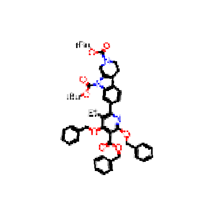 CCc1c(-c2ccc3c4c(n(C(=O)OC(C)(C)C)c3c2)CN(C(=O)OC(C)(C)C)CC4)nc(OCc2ccccc2)c(C(=O)OCc2ccccc2)c1OCc1ccccc1